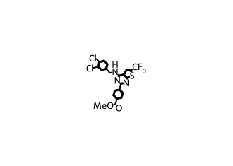 COC(=O)c1ccc(-c2nc(NCc3ccc(Cl)c(Cl)c3)c3cc(C(F)(F)F)sc3n2)cc1